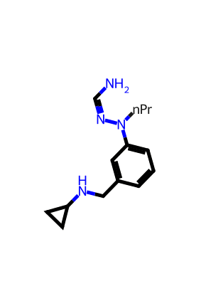 CCCN(/N=C\N)c1cccc(CNC2CC2)c1